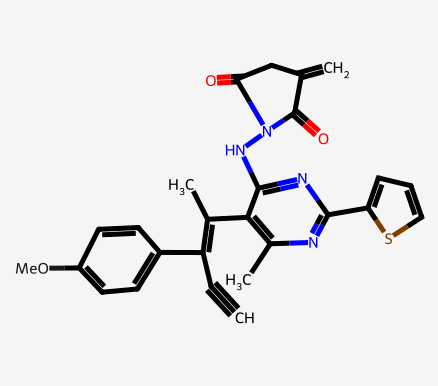 C#C/C(=C(/C)c1c(C)nc(-c2cccs2)nc1NN1C(=O)CC(=C)C1=O)c1ccc(OC)cc1